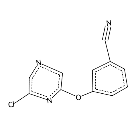 N#Cc1cccc(Oc2cncc(Cl)n2)c1